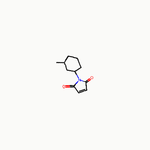 CC1CCCC(N2C(=O)C=CC2=O)C1